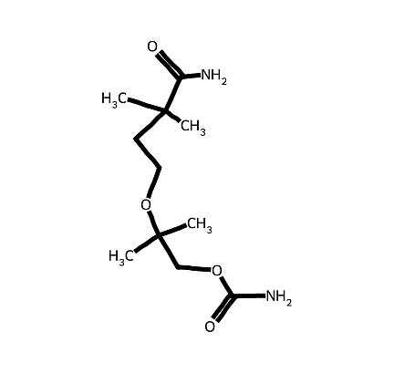 CC(C)(COC(N)=O)OCCC(C)(C)C(N)=O